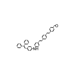 O=Cc1ccc(/C=C/c2ccc(/C=C/c3ccc(Nc4ccc(C=C(c5ccccc5)c5ccccc5)cc4)cc3)cc2)cc1